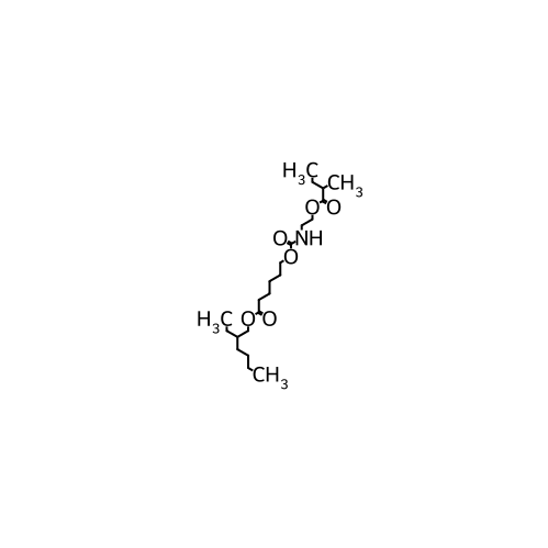 CCCCC(CC)COC(=O)CCCCCOC(=O)NCCOC(=O)C(C)CC